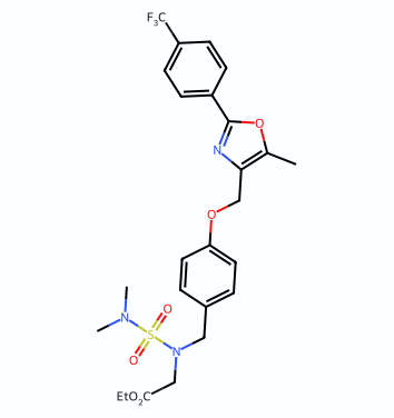 CCOC(=O)CN(Cc1ccc(OCc2nc(-c3ccc(C(F)(F)F)cc3)oc2C)cc1)S(=O)(=O)N(C)C